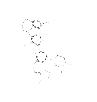 CCCc1c(-c2nc(O[C@@H](C)[C@@H]3CCCN3C)cc(N3C[C@H](C)N(C(C)=O)[C@@H](C)C3)n2)noc1[C@@]1(C)CCCc2sc(N)c(C#N)c21